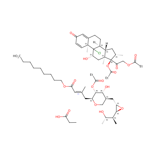 CCC(=O)O.CCC(=O)OCC(=O)[C@@]1(OC(=O)CC)[C@@H](C)C[C@H]2[C@@H]3CCC4=CC(=O)C=C[C@]4(C)C3(Cl)[C@@H](O)C[C@@]21C.CCC(=O)O[C@@H]1[C@H](O)[C@@H](C[C@@H]2O[C@H]2[C@@H](C)[C@H](C)O)CO[C@H]1C/C(C)=C/C(=O)OCCCCCCCCC(=O)O